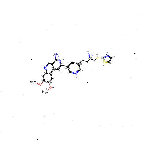 COc1cc2ncc3c(N)nc(-c4cncc(CC[C@@H](N)CSc5nccs5)c4)cc3c2cc1OC